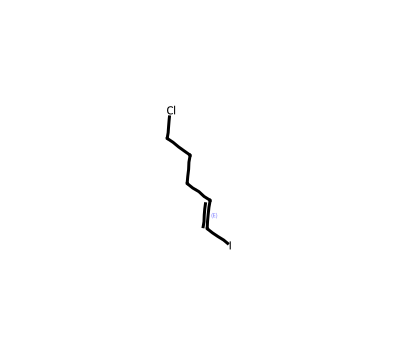 ClCCC/C=C/I